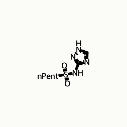 CCCCCS(=O)(=O)Nc1nc[nH]n1